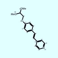 COC(COc1ccc(/C=C/c2ccncc2)cc1)OC